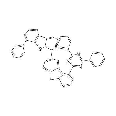 C1=CC(c2ccc3c(c2)-c2c(cccc2-c2nc(-c4ccccc4)nc(-c4ccccc4)n2)C3)C2Sc3c(cccc3-c3ccccc3)C2=C1